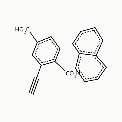 C#Cc1cc(C(=O)O)ccc1C(=O)O.c1ccc2ccccc2c1